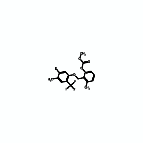 COC(=O)Oc1cccc(C)c1COc1cc(F)c(C)cc1C(F)(F)F